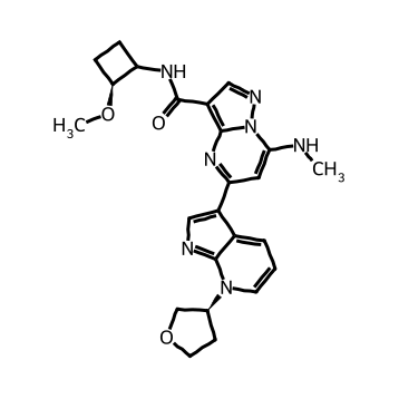 CNc1cc(-c2cnc3n([C@H]4CCOC4)cccc2-3)nc2c(C(=O)NC3CC[C@@H]3OC)cnn12